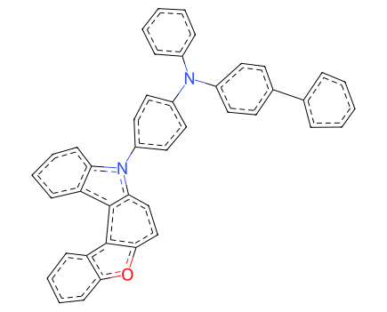 c1ccc(-c2ccc(N(c3ccccc3)c3ccc(-n4c5ccccc5c5c6c(ccc54)oc4ccccc46)cc3)cc2)cc1